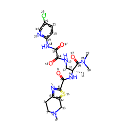 CN1CCc2nc(C(=O)N[C@@](C)(CNC(=O)C(=O)Nc3ccc(Cl)cn3)C(=O)N(C)C)sc2C1